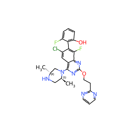 C[C@@H]1CN(c2nc(OCCc3ncccn3)nc3c(F)c(-c4c(O)cccc4F)c(Cl)cc23)[C@@H](C)CN1